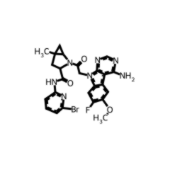 COc1cc2c3c(N)ncnc3n(CC(=O)N3C(C(=O)Nc4cccc(Br)n4)CC4(C)CC34)c2cc1F